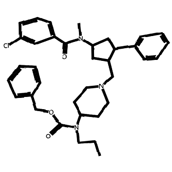 CCCN(C(=O)OCc1ccccc1)C1CCN(CC2CC(N(C)C(=O)c3cccc(Cl)c3)CC2c2ccccc2)CC1